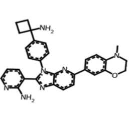 CN1CCOc2cc(-c3ccc4nc(-c5cccnc5N)n(-c5ccc(C6(N)CCC6)cc5)c4n3)ccc21